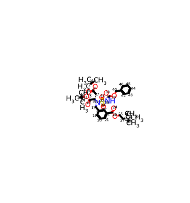 CC(C)(C)OC(=O)C[C@@H](C(=O)OC(C)(C)C)N(Cc1cccc(C(=O)OCC[Si](C)(C)C)c1)S(=O)(=O)NC(=O)OCc1ccccc1